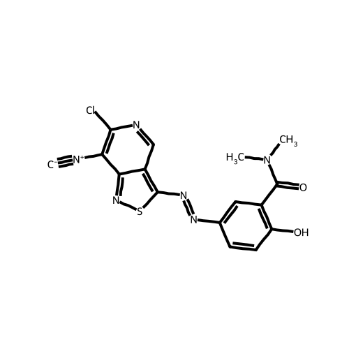 [C-]#[N+]c1c(Cl)ncc2c(/N=N/c3ccc(O)c(C(=O)N(C)C)c3)snc12